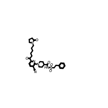 N#Cc1ccc(C(=O)CCCCCN2CCCC2=O)nc1N1CCC(C(=O)NS(=O)(=O)CCc2ccccc2)CC1